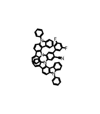 N#Cc1cc(-n2c3ccccc3c3ccc4c(c5ccccc5n4-c4ccccc4)c32)c(-n2c3ccccc3c3ccc4c(c5ccccc5n4-c4ccccc4)c32)cc1-c1cc(F)cc(F)c1